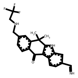 CC1(C)c2cc(CNCC(F)(F)F)ccc2C(=O)c2c1[nH]c1cc(C=N)ccc21